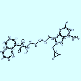 Cc1cc2c(nc(CC3CC3)n2CCOCCN(C)S(=O)(=O)c2cccc3cccnc23)c(N)n1